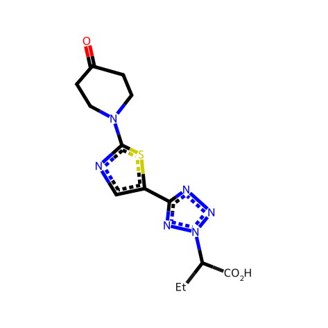 CCC(C(=O)O)n1nnc(-c2cnc(N3CCC(=O)CC3)s2)n1